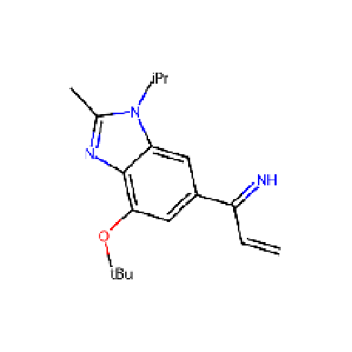 C=CC(=N)c1cc(OC(C)(C)C)c2nc(C)n(C(C)C)c2c1